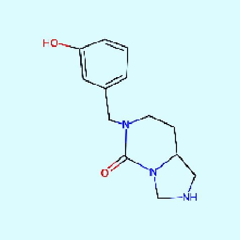 O=C1N(Cc2cccc(O)c2)CCC2CNCN12